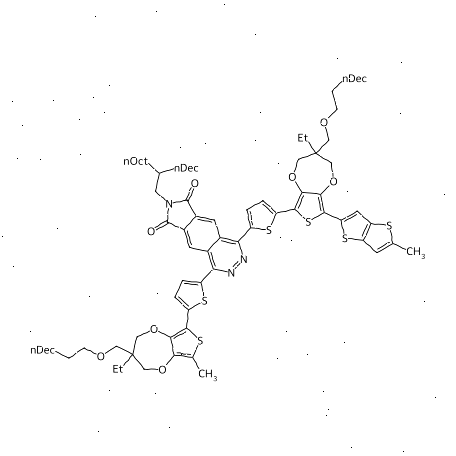 CCCCCCCCCCCCOCC1(CC)COc2c(C)sc(-c3ccc(-c4nnc(-c5ccc(-c6sc(-c7cc8sc(C)cc8s7)c7c6OCC(CC)(COCCCCCCCCCCCC)CO7)s5)c5cc6c(cc45)C(=O)N(CC(CCCCCCCC)CCCCCCCCCC)C6=O)s3)c2OC1